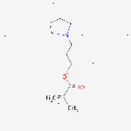 C=C(C)C(=O)OCCCN1CCCC1